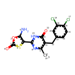 Nc1oc(=O)sc1-c1nc(C(F)(F)F)c(Cc2ccc(Cl)c(Cl)c2)c(=O)[nH]1